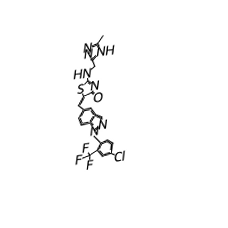 Cc1nnc(CNC2=NC(=O)C(=Cc3ccc4c(cnn4Cc4ccc(Cl)cc4C(F)(F)F)c3)S2)[nH]1